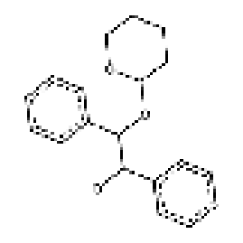 OC(c1ccccc1)C(OC1CCCCO1)c1ccccc1